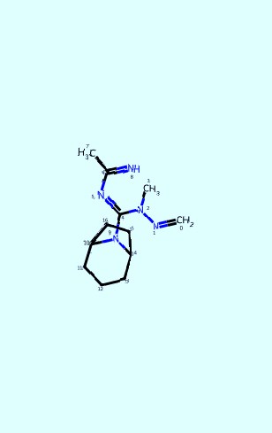 C=NN(C)/C(=N\C(C)=N)N1C2CCCC1CC2